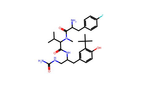 CC(C)C(C(=O)NC(CNC(N)=O)Cc1ccc(O)c(C(C)(C)C)c1)N(C)C(=O)C(N)Cc1ccc(F)cc1